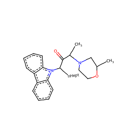 CCCCCCCC(C(=O)C(C)N1CCOC(C)C1)n1c2ccccc2c2ccccc21